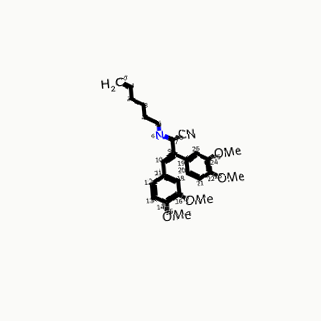 C=CCCCCN=C(C#N)C(=Cc1ccc(OC)c(OC)c1)c1ccc(OC)c(OC)c1